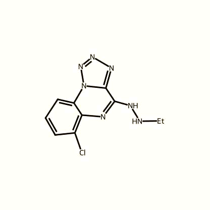 CCNNc1nc2c(Cl)cccc2n2nnnc12